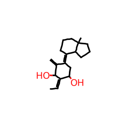 C=C1C(=C2CCCC3(C)CCCC23)CC(O)C(=CC)C1O